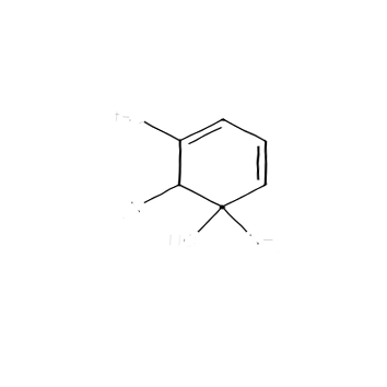 CC(C)(C)C1=CC=CC(N)(O)C1N